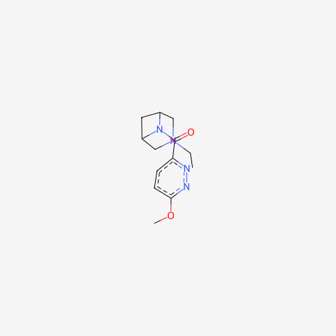 CCN1CC2CC(C1)N2C(=O)c1ccc(OC)nn1